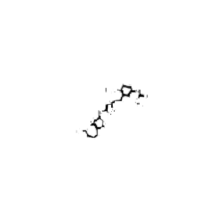 CC(=O)C1CCCc2cnc(Nc3cc(CCc4cc(NC(=O)OC(C)(C)C)ccc4C)n[nH]3)cc2C1